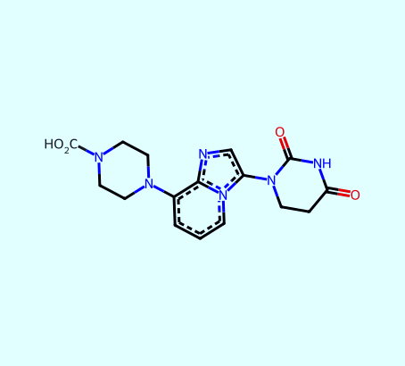 O=C1CCN(c2cnc3c(N4CCN(C(=O)O)CC4)cccn23)C(=O)N1